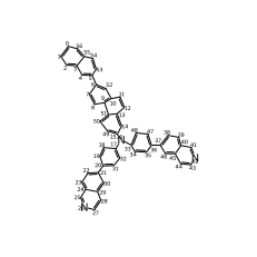 c1ccc2cc(-c3ccc4c(ccc5cc(N(c6ccc(-c7ccc8cnccc8c7)cc6)c6ccc(-c7ccc8cnccc8c7)cc6)ccc54)c3)ccc2c1